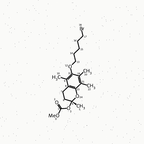 COC(=O)O[C@]1(C)CCc2c(C)c(OCCCCCBr)c(C)c(C)c2O1